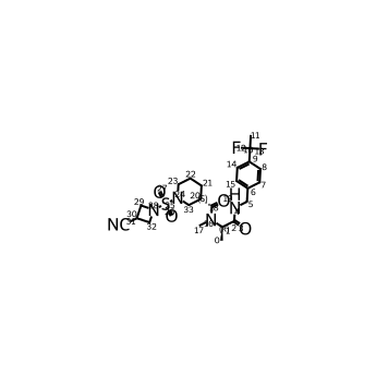 C[C@H](C(=O)NCc1ccc(C(C)(F)F)cc1)N(C)C(=O)[C@H]1CCCN(S(=O)(=O)N2CC(C#N)C2)C1